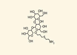 NCCSCCCO[C@@H]1OC(CO)[C@@H](O)[C@H](O)C1O[C@@H]1OC(CO)[C@@H](O)[C@H](O)C1O[C@@H]1OC(CO)[C@@H](O)[C@H](O)C1O